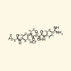 Cl.N=C(N)c1ccc(NC(=O)[C@H](O)[C@H]2OCCN(c3ccc(NC(=O)CC4CC4)cc3)C2=O)cc1